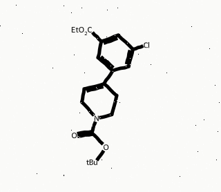 CCOC(=O)c1cc(Cl)cc(C2=CCN(C(=O)OC(C)(C)C)CC2)c1